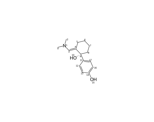 CN(C)C=C1CCCC[C@@]1(O)c1ccc(O)cc1